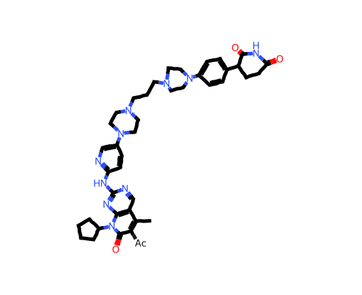 CC(=O)c1c(C)c2cnc(Nc3ccc(N4CCN(CCCN5CCN(c6ccc(C7CCC(=O)NC7=O)cc6)CC5)CC4)cn3)nc2n(C2CCCC2)c1=O